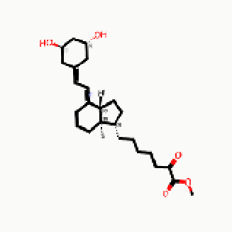 COC(=O)C(=O)CCCCC[C@H]1CC[C@H]2/C(=C/C=C3C[C@@H](O)C[C@H](O)C3)CCC[C@]12C